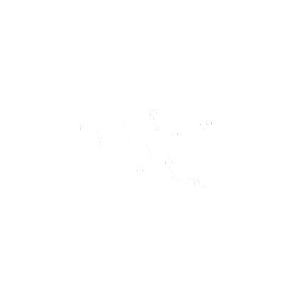 CCOC(=O)C(C(=O)OCC)c1ccc(I)cc1